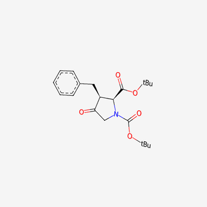 CC(C)(C)OC(=O)[C@@H]1[C@H](Cc2ccccc2)C(=O)CN1C(=O)OC(C)(C)C